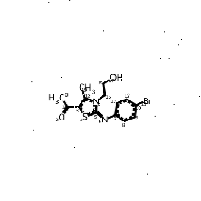 CC(=O)c1sc(=Nc2ccc(Br)cc2)n(CCO)c1C